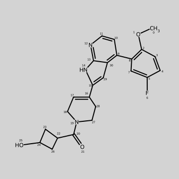 COc1ccc(F)cc1-c1ccnc2[nH]c(C3=CCN(C(=O)C4CC(O)C4)CC3)cc12